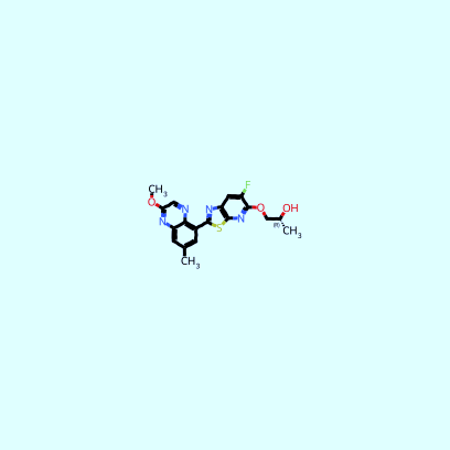 COc1cnc2c(-c3nc4cc(F)c(OC[C@@H](C)O)nc4s3)cc(C)cc2n1